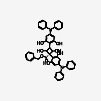 O=C(OCc1ccccc1)[C@]1(c2c(O)cc(N(c3ccccc3)c3ccccc3)cc2O)C(O)[C@@H](c2c(O)cc(N(c3ccccc3)c3ccccc3)cc2O)[C@H]1O